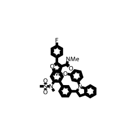 CNC(=O)c1c(-c2ccc(F)cc2)oc2cc(N(C)S(C)(=O)=O)c(-c3cccc(C4Cc5ccccc5N4c4cccc(OC)c4)c3)cc12